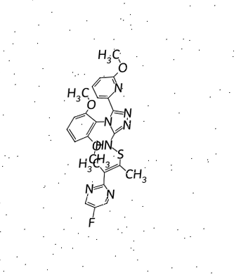 COc1cccc(-c2nnc(NS/C(C)=C(\C)c3ncc(F)cn3)n2-c2c(OC)cccc2OC)n1